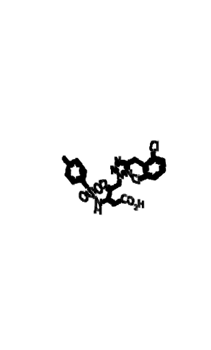 Cc1ccc(S(=O)(=O)NC(CC(=O)O)C(=O)Cn2nnc(Cc3c(Cl)cccc3Cl)n2)cc1